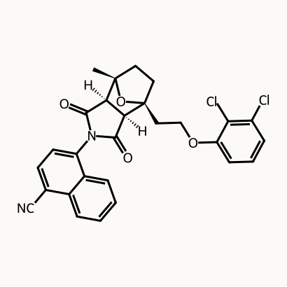 C[C@@]12CC[C@@](CCOc3cccc(Cl)c3Cl)(O1)[C@H]1C(=O)N(c3ccc(C#N)c4ccccc34)C(=O)[C@H]12